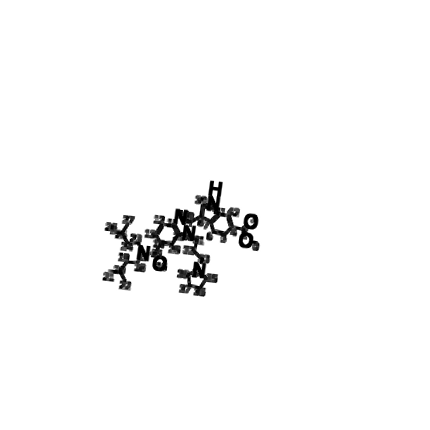 COC(=O)c1ccc2c(-c3nc4ccc(C(=O)N(CCC(C)C)CCC(C)C)cc4n3CCCN3CCCC3)c[nH]c2c1